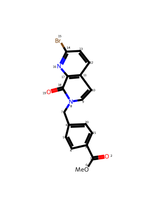 COC(=O)c1ccc(Cn2ccc3ccc(Br)nc3c2=O)cc1